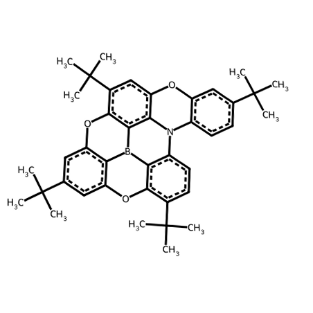 CC(C)(C)c1ccc2c(c1)Oc1cc(C(C)(C)C)c3c4c1N2c1ccc(C(C)(C)C)c2c1B4c1c(cc(C(C)(C)C)cc1O3)O2